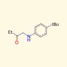 CCC(=O)CNc1ccc(C(C)(C)C)cc1